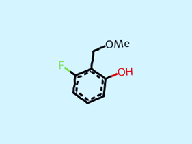 COCc1c(O)cccc1F